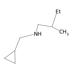 CCC(C)CNCC1CC1